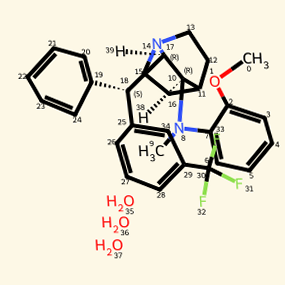 COc1ccccc1N(C)[C@@H]1C2CCN(CC2)[C@@H]1[C@@H](c1ccccc1)c1cccc(C(F)(F)F)c1.O.O.O